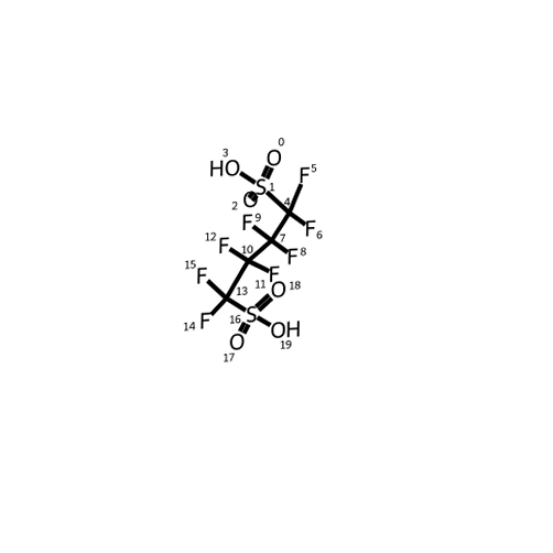 O=S(=O)(O)C(F)(F)C(F)(F)C(F)(F)C(F)(F)S(=O)(=O)O